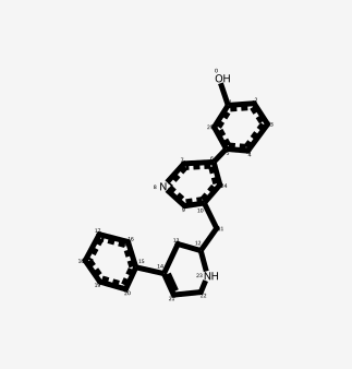 Oc1cccc(-c2cncc(CC3CC(c4ccccc4)=CCN3)c2)c1